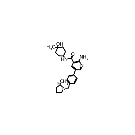 C[C@@H]1CCCN1Cc1ccc(-c2cnc(N)c(C(=O)NC3CCC(C)(O)CC3)c2)cc1